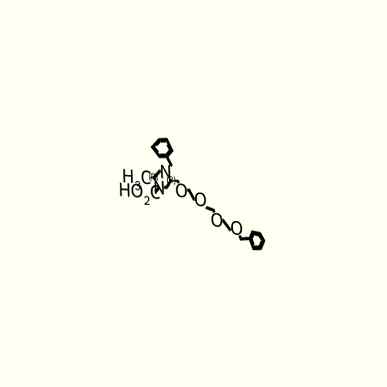 C[C@@H]1CN(Cc2ccccc2)[C@@H](COCCOCCOCCOCc2ccccc2)CN1C(=O)O